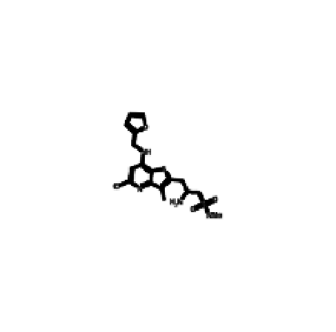 CNS(=O)(=O)CC(N)Cc1sc2c(NCc3ccco3)cc(Cl)nc2c1C